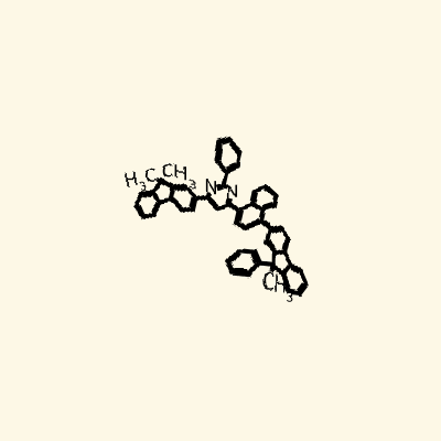 CC1(C)c2ccccc2-c2ccc(-c3cc(-c4ccc(-c5ccc6c(c5)C(C)(c5ccccc5)c5ccccc5-6)c5ccccc45)nc(-c4ccccc4)n3)cc21